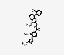 COc1cc(C(=O)NCc2nc3c(-c4ccccc4Cl)cccc3n2C)ccc1-n1cnc(C)c1